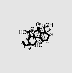 C=C[C@]1(C)C=C(C(=O)O)[C@]2(CC1)OC(=O)[C@H]1[C@](C)(CO)CC[C@@H](O)[C@@]12C